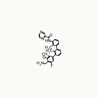 COc1cc(-c2cccc(-c3cccc(NC(=O)c4cnccn4)c3C)c2C)cc(F)c1CN